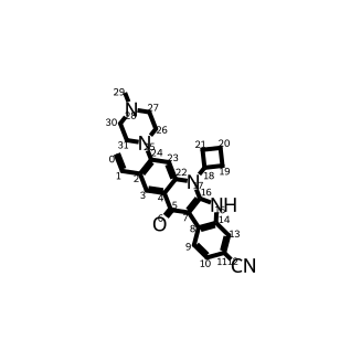 C=Cc1cc2c(=O)c3c4ccc(C#N)cc4[nH]c3n(C3CCC3)c2cc1N1CCN(C)CC1